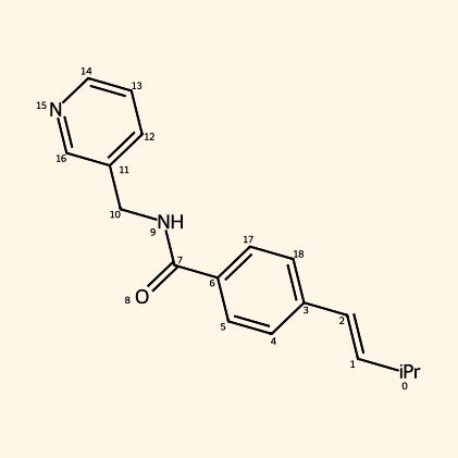 CC(C)/C=C/c1ccc(C(=O)NCc2cccnc2)cc1